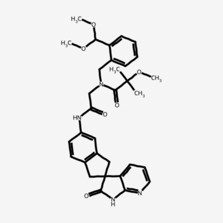 COC(OC)c1ccccc1CN(CC(=O)Nc1ccc2c(c1)CC1(C2)C(=O)Nc2ncccc21)C(=O)C(C)(C)OC